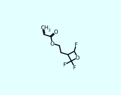 C=CC(=O)OCCC1C(F)OC1(F)F